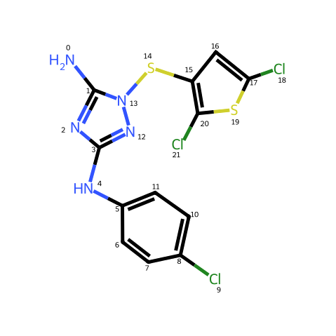 Nc1nc(Nc2ccc(Cl)cc2)nn1Sc1cc(Cl)sc1Cl